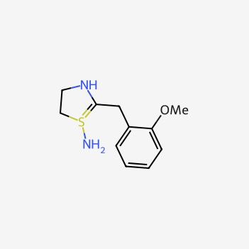 COc1ccccc1CC1=S(N)CCN1